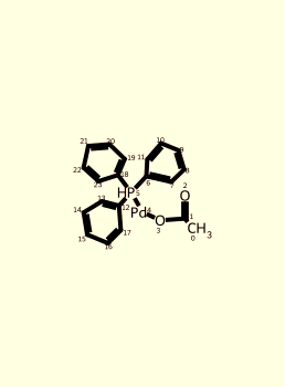 CC(=O)[O][Pd][PH](c1ccccc1)(c1ccccc1)c1ccccc1